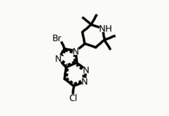 CC1(C)CC(n2c(Br)nc3cc(Cl)nnc32)CC(C)(C)N1